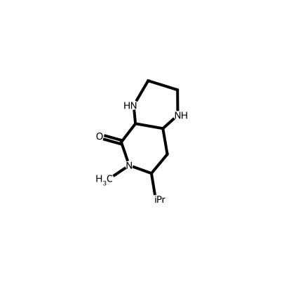 CC(C)C1CC2NCCNC2C(=O)N1C